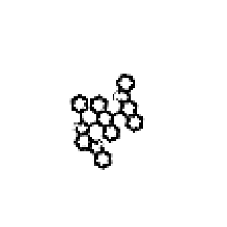 c1ccc(-c2sc3ccc4c5ccccc5sc4c3c2-c2c3ccccc3c(-c3c4ccccc4cc4c3oc3ccccc34)c3ccccc23)cc1